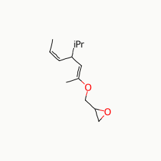 C/C=C\C(/C=C(\C)OCC1CO1)C(C)C